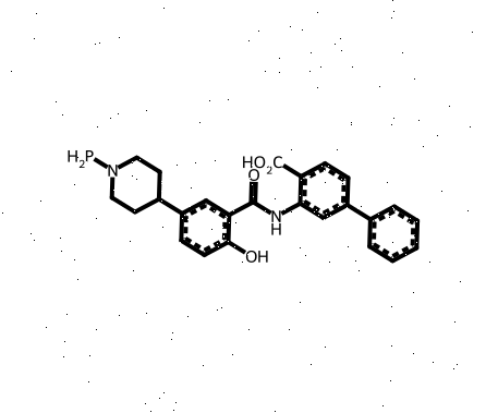 O=C(Nc1cc(-c2ccccc2)ccc1C(=O)O)c1cc(C2CCN(P)CC2)ccc1O